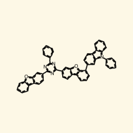 c1ccc(-c2nc(-c3ccc4c(c3)oc3ccccc34)nc(-c3ccc4c(c3)oc3c(-c5ccc6c7ccccc7n(-c7ccccc7)c6c5)cccc34)n2)cc1